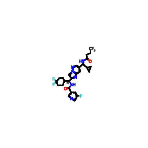 O=C(CCC(F)(F)F)NC(c1cnn2cc([C@@H](NC(=O)c3cncc(F)c3)C3CCC(F)(F)CC3)nc2c1)C1CC1